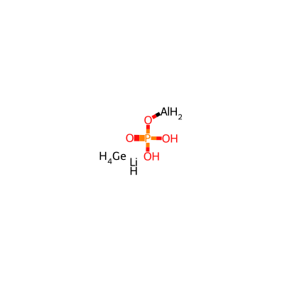 O=P(O)(O)[O][AlH2].[GeH4].[LiH]